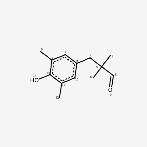 Cc1cc(CC(C)(C)C=O)cc(C)c1O